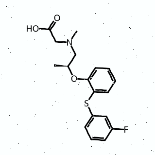 C[C@@H](CN(C)CC(=O)O)Oc1ccccc1Sc1cccc(F)c1